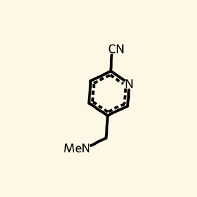 [CH2]NCc1ccc(C#N)nc1